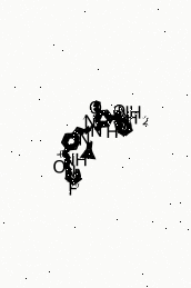 COc1cc(C(=O)N2[C@H]3CC[C@@H]2[C@H](N)C3)cc2nc(-c3cc4ccc([C@@H](C)NC(=O)N5CC[C@@H](F)C5)cc4n3CC3CC3)n(C)c12